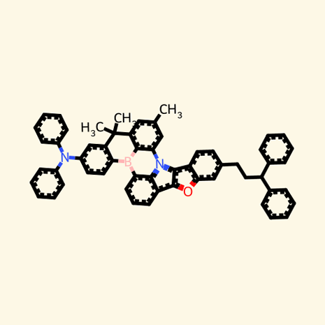 Cc1cc2c3c(c1)C(C)(C)c1cc(N(c4ccccc4)c4ccccc4)ccc1B3c1cccc3c4oc5cc(CCC(c6ccccc6)c6ccccc6)ccc5c4n-2c13